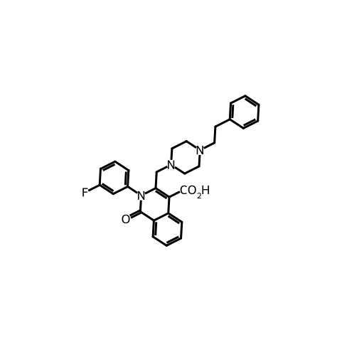 O=C(O)c1c(CN2CCN(CCc3ccccc3)CC2)n(-c2cccc(F)c2)c(=O)c2ccccc12